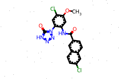 COc1cc(NC(=O)c2ccc3cc(Cl)ccc3c2)c(-n2nn[nH]c2=O)cc1Cl